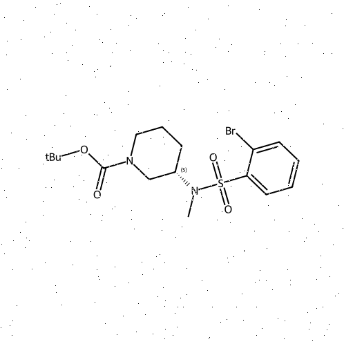 CN([C@H]1CCCN(C(=O)OC(C)(C)C)C1)S(=O)(=O)c1ccccc1Br